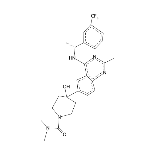 Cc1nc(N[C@H](C)c2cccc(C(F)(F)F)c2)c2cc(C3(O)CCN(C(=O)N(C)C)CC3)ccc2n1